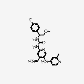 COCC(NC(=O)Nc1cc(C=N)c(Nc2ccnc(C)c2)cn1)c1ccc(F)cc1